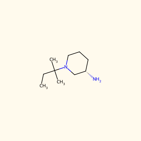 CCC(C)(C)N1CCC[C@H](N)C1